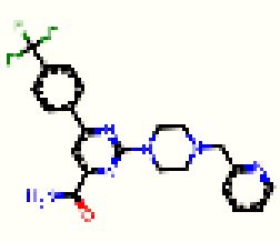 NC(=O)c1cc(-c2ccc(C(F)(F)F)cc2)nc(N2CCN(Cc3ccccn3)CC2)n1